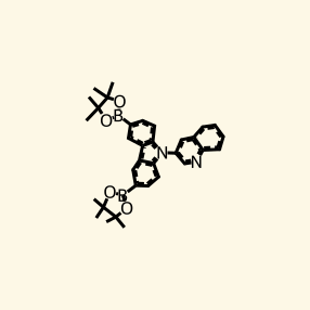 CC1(C)OB(c2ccc3c(c2)c2cc(B4OC(C)(C)C(C)(C)O4)ccc2n3-c2cnc3ccccc3c2)OC1(C)C